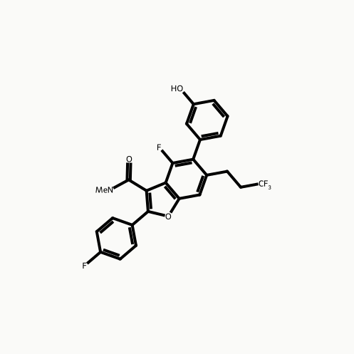 CNC(=O)c1c(-c2ccc(F)cc2)oc2cc(CCC(F)(F)F)c(-c3cccc(O)c3)c(F)c12